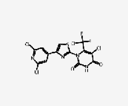 O=c1[nH]c(=O)n(-c2nc(-c3cc(Cl)nc(Cl)c3)cs2)c(C(F)(F)Cl)c1Cl